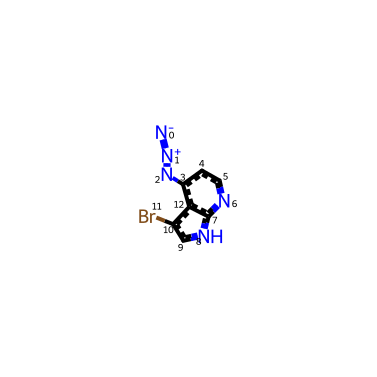 [N-]=[N+]=Nc1ccnc2[nH]cc(Br)c12